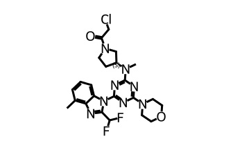 Cc1cccc2c1nc(C(F)F)n2-c1nc(N2CCOCC2)nc(N(C)[C@H]2CCN(C(=O)CCl)C2)n1